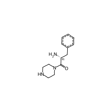 N[C@H](Cc1ccccc1)C(=O)N1CCNCC1